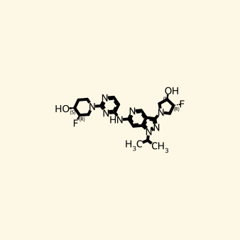 CC(C)n1nc(N2C[C@@H](O)[C@H](F)C2)c2cnc(Nc3ccnc(N4CC[C@H](O)[C@H](F)C4)n3)cc21